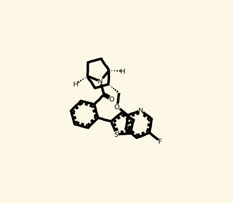 O=C(c1ccccc1-c1cccs1)N1[C@@H]2CC[C@H]1[C@H](COc1ccc(F)cn1)C2